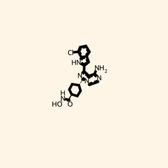 Nc1nccn2c1c(-c1cc3cccc(Cl)c3[nH]1)nc2[C@H]1CC[C@H](C(=O)NO)CC1